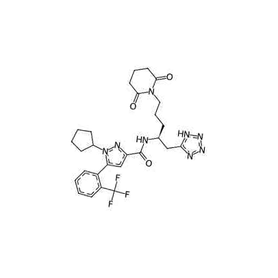 O=C(N[C@@H](CCCN1C(=O)CCCC1=O)Cc1nnn[nH]1)c1cc(-c2ccccc2C(F)(F)F)n(C2CCCC2)n1